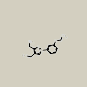 CCOc1cccc(-n2cc(CO)c(CC)n2)c1